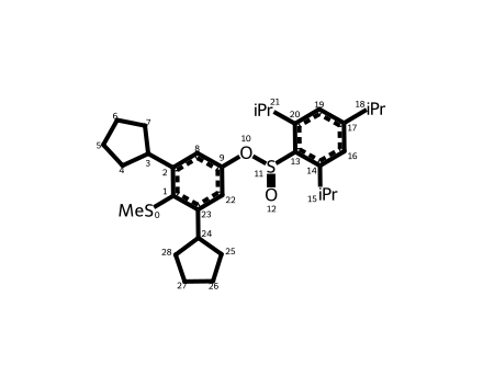 CSc1c(C2CCCC2)cc(OS(=O)c2c(C(C)C)cc(C(C)C)cc2C(C)C)cc1C1CCCC1